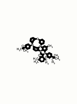 Cc1cc2c3c(c1)N(c1ccc(C(C)(C)C)cc1)c1c(oc4c1C(C)(C)CCC4(C)C)B3c1ccc3cc1N2c1cccc(c1)Oc1cccc(c1)N3c1ccc(C(C)(C)C)cc1